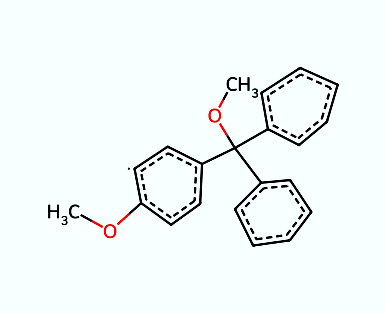 COc1[c]cc(C(OC)(c2ccccc2)c2ccccc2)cc1